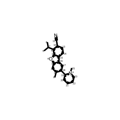 Cc1cc2oc3c(C(C)C)c(C#N)ccc3c2cc1-c1cccc[n+]1C